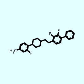 Cc1ccc(C2CCC(CCc3ccc(-c4ccccc4)c(F)c3F)CC2)c(F)c1